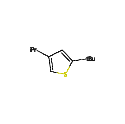 CC(C)c1csc(C(C)(C)C)c1